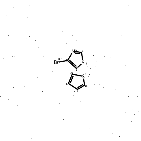 Brc1cscn1.c1ccsc1